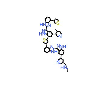 CCNCc1cncc(-c2ccc3[nH]nc(-c4nc5c(-c6csc(-c7cc(-c8cnccc8C)cc8c(-c9nc%10c(-c%11ccsc%11)cccc%10[nH]9)n[nH]c78)c6)cccc5[nH]4)c3c2)c1